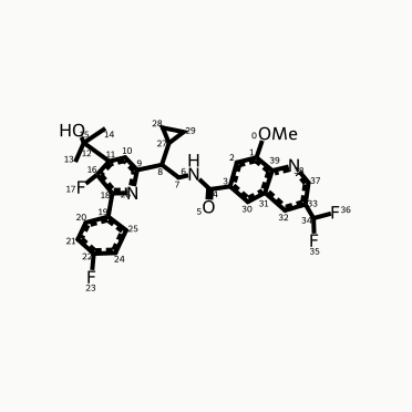 COc1cc(C(=O)NCC(c2cc(C(C)(C)O)c(F)c(-c3ccc(F)cc3)n2)C2CC2)cc2cc(C(F)F)cnc12